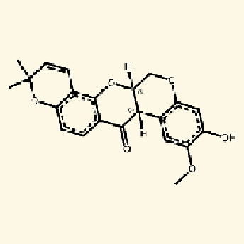 COc1cc2c(cc1O)OC[C@H]1Oc3c(ccc4c3C=CC(C)(C)O4)C(=O)[C@@H]21